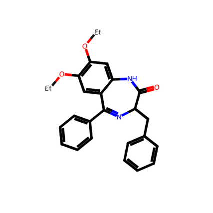 CCOc1cc2c(cc1OCC)C(c1ccccc1)=NC(Cc1ccccc1)C(=O)N2